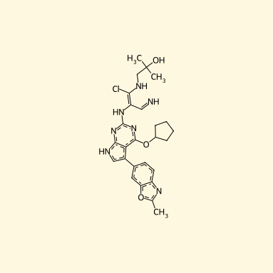 Cc1nc2ccc(-c3c[nH]c4nc(N/C(C=N)=C(\Cl)NCC(C)(C)O)nc(OC5CCCC5)c34)cc2o1